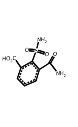 NC(=O)c1cccc(C(=O)O)c1S(N)(=O)=O